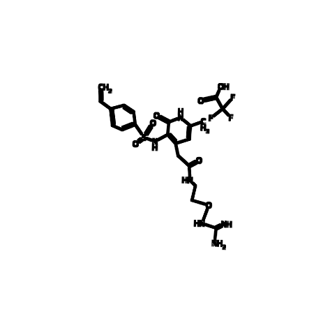 C=Cc1ccc(S(=O)(=O)Nc2c(CC(=O)NCCONC(=N)N)cc(C)[nH]c2=O)cc1.O=C(O)C(F)(F)F